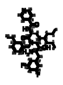 CCCC(CCC)SC[C@@H](NC(=O)c1ccncc1)C(=O)N(Cc1cccc(CC)c1)C[C@@H](O)[C@@H](N)Cc1cc(F)cc(F)c1